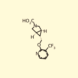 O=C(O)N1C[C@@H]2[C@@H](COc3ncccc3C(F)(F)F)[C@@H]2C1